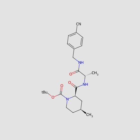 C[C@H]1CCN(C(=O)OC(C)(C)C)[C@@H](C(=O)N[C@@H](C)C(=O)NCc2ccc(C#N)cc2)C1